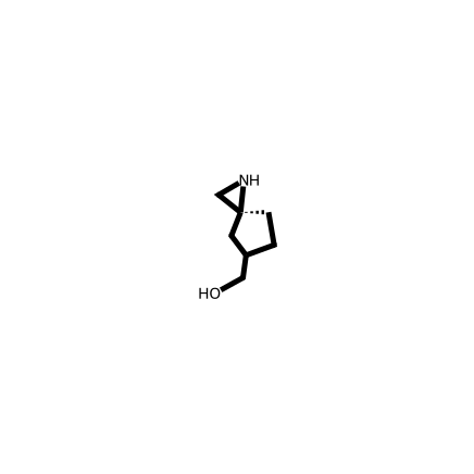 OCC1CC[C@@]2(CN2)C1